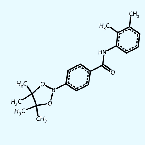 Cc1cccc(NC(=O)c2ccc(B3OC(C)(C)C(C)(C)O3)cc2)c1C